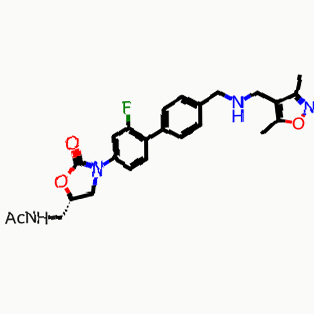 CC(=O)NC[C@H]1CN(c2ccc(-c3ccc(CNCc4c(C)noc4C)cc3)c(F)c2)C(=O)O1